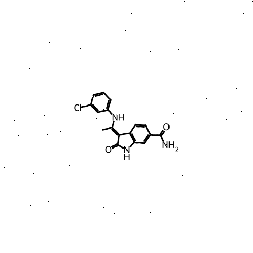 C/C(Nc1cccc(Cl)c1)=C1\C(=O)Nc2cc(C(N)=O)ccc21